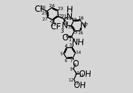 O=C(Nc1cccc(OCC(O)CO)c1)c1cncc2[nH]c(-c3ccc(Cl)cc3C(F)(F)F)nc12